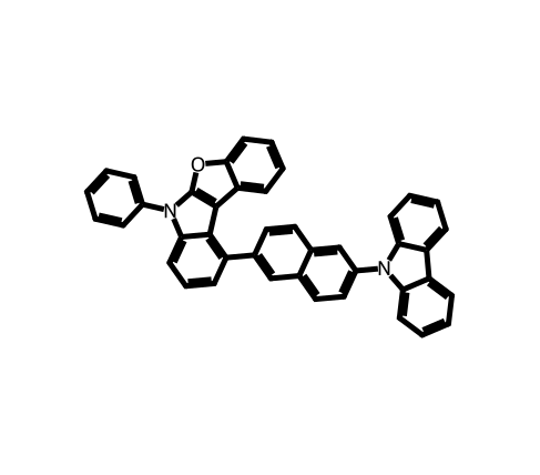 c1ccc(-n2c3cccc(-c4ccc5cc(-n6c7ccccc7c7ccccc76)ccc5c4)c3c3c4ccccc4oc32)cc1